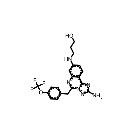 Nc1nc2c3ccc(NCCCO)cc3nc(Cc3ccc(OC(F)(F)F)cc3)n2n1